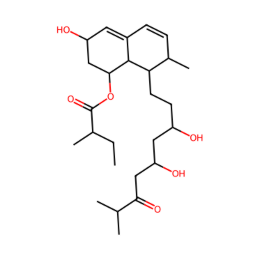 CCC(C)C(=O)OC1CC(O)C=C2C=CC(C)C(CCC(O)CC(O)CC(=O)C(C)C)C21